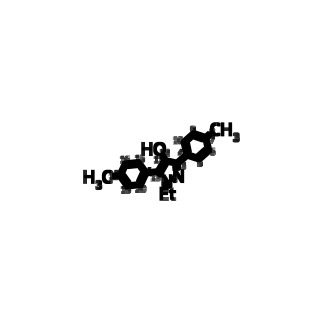 CCn1nc(-c2ccc(C)cc2)c(O)c1-c1ccc(C)cc1